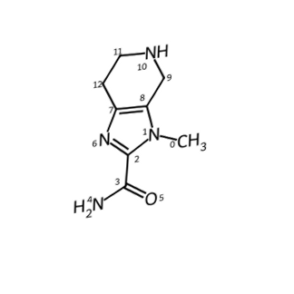 Cn1c(C(N)=O)nc2c1CNCC2